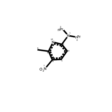 CCCN(CCC)c1ccc([N+](=O)[O-])c(C)n1